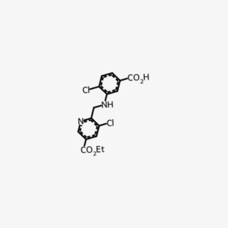 CCOC(=O)c1cnc(CNc2cc(C(=O)O)ccc2Cl)c(Cl)c1